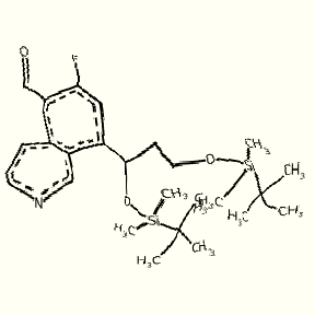 CC(C)(C)[Si](C)(C)OCCC(O[Si](C)(C)C(C)(C)C)c1cc(F)c(C=O)c2ccncc12